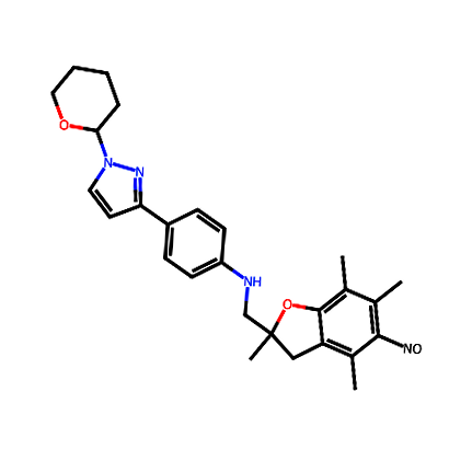 Cc1c(C)c2c(c(C)c1N=O)CC(C)(CNc1ccc(-c3ccn(C4CCCCO4)n3)cc1)O2